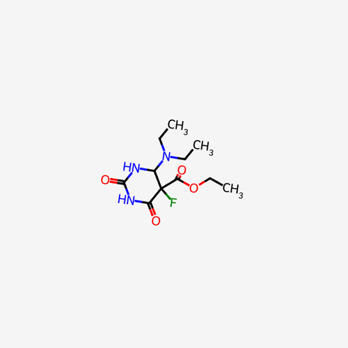 CCOC(=O)C1(F)C(=O)NC(=O)NC1N(CC)CC